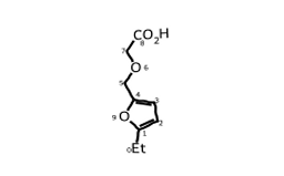 CCc1ccc(COCC(=O)O)o1